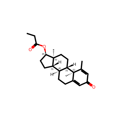 CCC(=O)O[C@@H]1CC[C@H]2[C@@H]3CCC4=CC(=O)C=C(C)[C@]4(C)[C@H]3CC[C@]12C